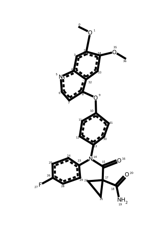 COc1cc2nccc(Oc3ccc(N(C(=O)C4(C(N)=O)CC4)c4ccc(F)cc4)cc3)c2cc1OC